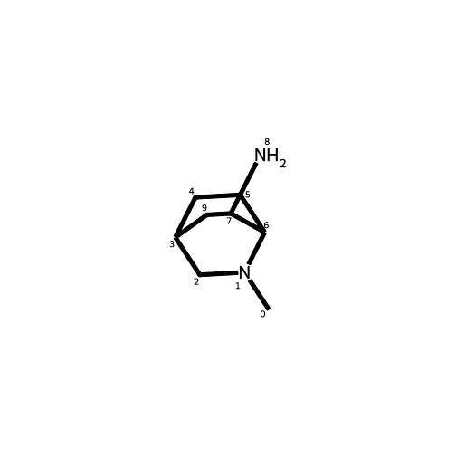 CN1CC2CCC1C(N)C2